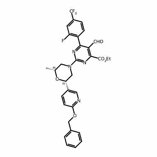 CCOC(=O)c1nc(N2C[C@@H](C)O[C@@H](c3ccc(OCc4ccccc4)nc3)C2)nc(-c2ccc(C(F)(F)F)cc2F)c1C=O